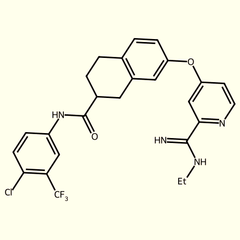 CCNC(=N)c1cc(Oc2ccc3c(c2)CC(C(=O)Nc2ccc(Cl)c(C(F)(F)F)c2)CC3)ccn1